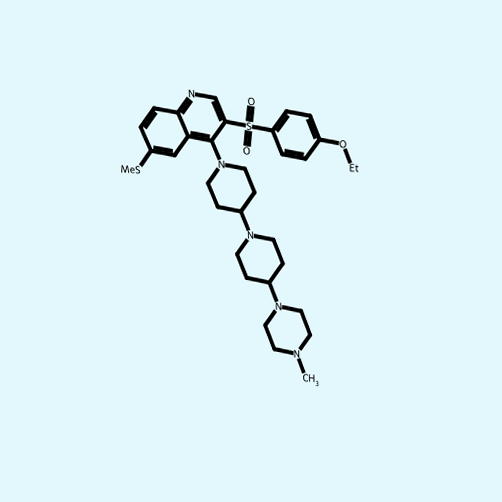 CCOc1ccc(S(=O)(=O)c2cnc3ccc(SC)cc3c2N2CCC(N3CCC(N4CCN(C)CC4)CC3)CC2)cc1